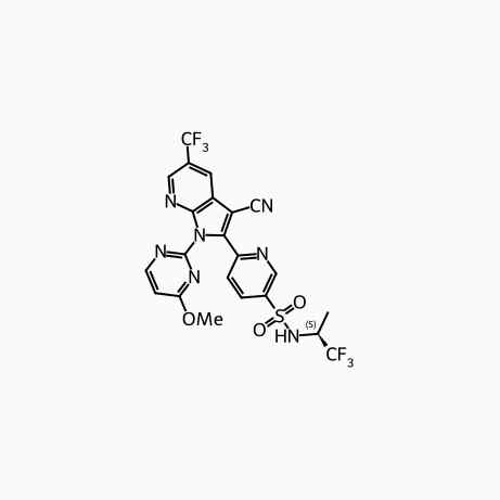 COc1ccnc(-n2c(-c3ccc(S(=O)(=O)N[C@@H](C)C(F)(F)F)cn3)c(C#N)c3cc(C(F)(F)F)cnc32)n1